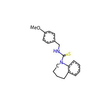 COc1ccc(CNC(=S)N2CCCCc3ccccc32)cc1